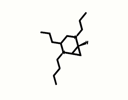 CCCCN1C(CCC)CN(CCC)[C@@H]2CC21